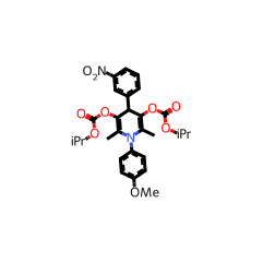 COc1ccc(N2C(C)=C(OC(=O)OC(C)C)C(c3cccc([N+](=O)[O-])c3)C(OC(=O)OC(C)C)=C2C)cc1